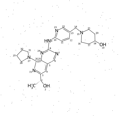 C[C@@H](O)c1cc2cnc(Nc3ccc(CN4CCC(O)CC4)cn3)nc2c(N2CCCC2)n1